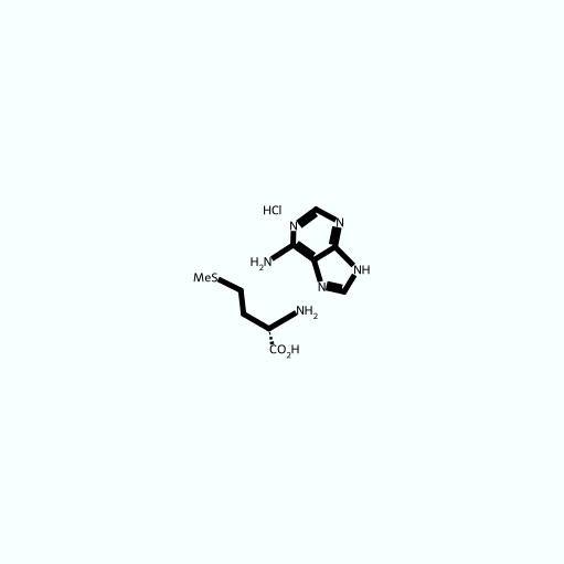 CSCC[C@H](N)C(=O)O.Cl.Nc1ncnc2[nH]cnc12